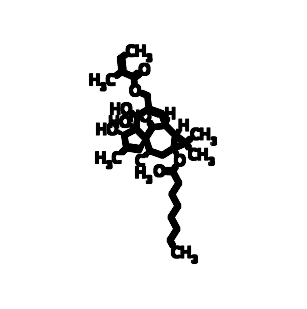 C/C=C(/C)C(=O)OCC1=C[C@@H]2C(O)[C@]3(C=C(C)[C@H](O)[C@@]3(O)[C@@H]1O)[C@H](C)C[C@]1(OC(=O)CCCCCCC)[C@H]2C1(C)C